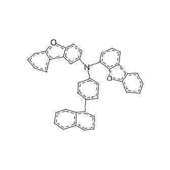 c1ccc2c(-c3ccc(N(c4ccc5oc6ccccc6c5c4)c4cccc5c4oc4ccccc45)cc3)cccc2c1